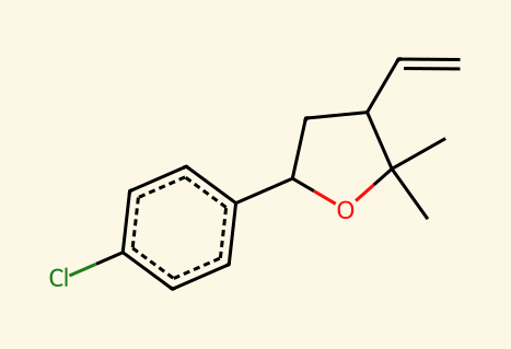 C=CC1CC(c2ccc(Cl)cc2)OC1(C)C